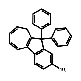 Nc1ccc2c(c1)C(c1ccccc1)(c1ccccc1)C1=C2C=CC=CC1